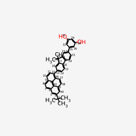 CC(C)(C)c1cc2ccc3ccc(-c4ccc5c(c4)C(C)(C)c4cc(-c6cc(O)cc(O)c6)ccc4-5)c4ccc(c1)c2c34